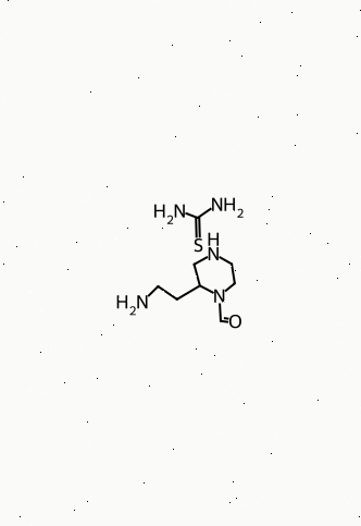 NC(N)=S.NCCC1CNCCN1C=O